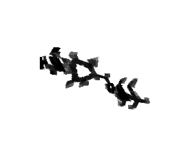 CC(C)(C)[Si](C)(C)OCc1ccc([SiH2]F)cc1